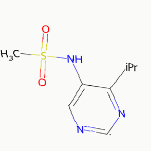 CC(C)c1n[c]ncc1NS(C)(=O)=O